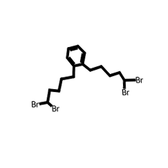 BrC(Br)CCCCc1ccccc1CCCCC(Br)Br